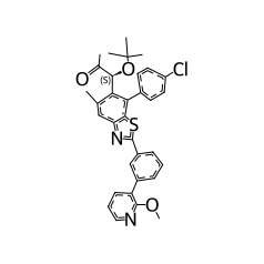 COc1ncccc1-c1cccc(-c2nc3cc(C)c([C@H](OC(C)(C)C)C(C)=O)c(-c4ccc(Cl)cc4)c3s2)c1